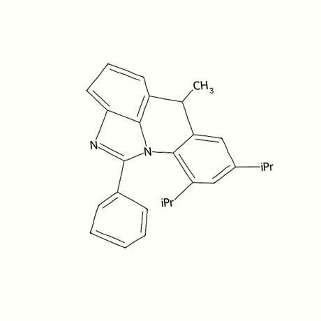 CC(C)c1cc(C(C)C)c2c(c1)C(C)c1cccc3nc(-c4ccccc4)n-2c13